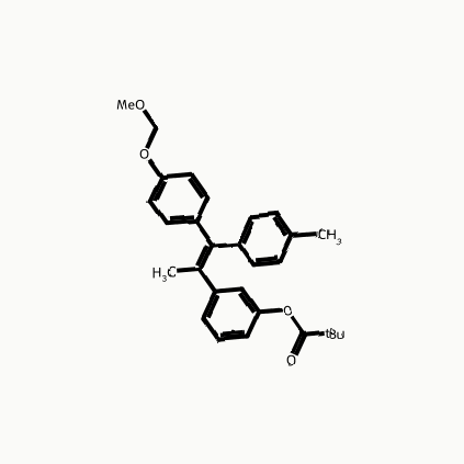 COCOc1ccc(/C(=C(\C)c2cccc(OC(=O)C(C)(C)C)c2)c2ccc(C)cc2)cc1